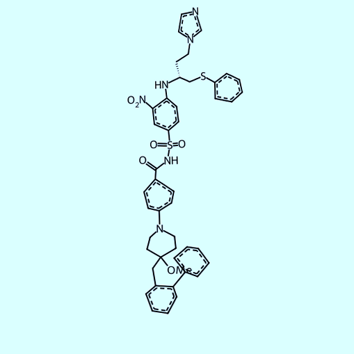 COC1(Cc2ccccc2-c2ccccc2)CCN(c2ccc(C(=O)NS(=O)(=O)c3ccc(N[C@H](CCn4ccnc4)CSc4ccccc4)c([N+](=O)[O-])c3)cc2)CC1